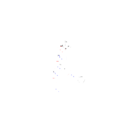 CCC[C@H](NC(=O)[C@@H]1C[C@@H](OC(=O)N2Cc3ccccc3C2)CN1C(=O)[C@@H](NC(=O)OCCN1CCOCC1)C(C)(C)C)B1O[C@@H]2C[C@@H]3C[C@@H](C3(C)C)[C@]2(C)O1